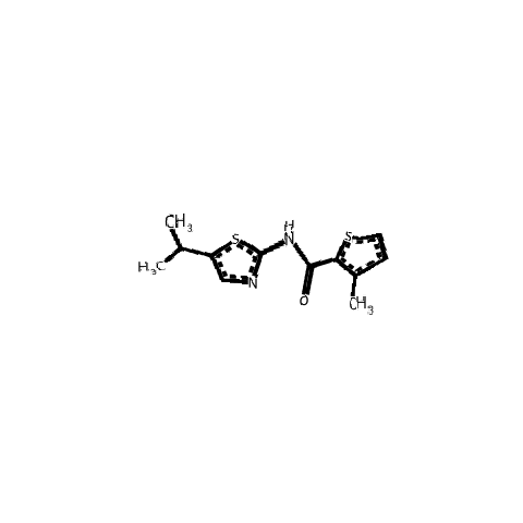 Cc1ccsc1C(=O)Nc1ncc(C(C)C)s1